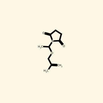 C=C(C)COC(C)N1C(=O)CCC1=O